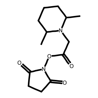 CC1CCCC(C)N1CC(=O)ON1C(=O)CCC1=O